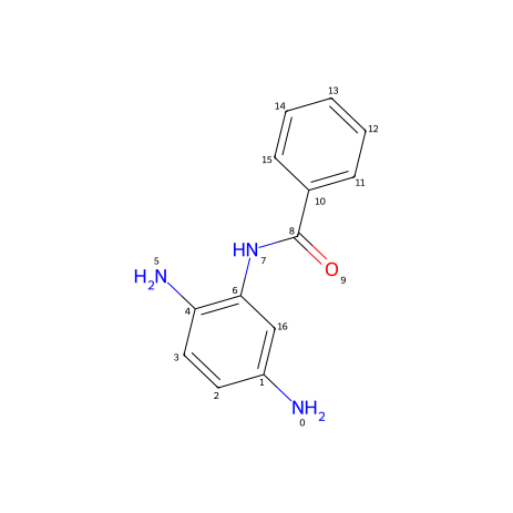 Nc1ccc(N)c(NC(=O)c2ccccc2)c1